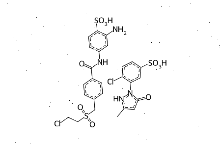 Cc1cc(=O)n(-c2cc(S(=O)(=O)O)ccc2Cl)[nH]1.Nc1cc(NC(=O)c2ccc(CS(=O)(=O)CCCl)cc2)ccc1S(=O)(=O)O